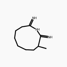 CC1CCCCCCC(=N)NC1=N